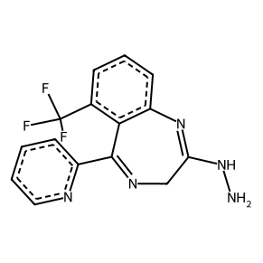 NNC1=Nc2cccc(C(F)(F)F)c2C(c2ccccn2)=NC1